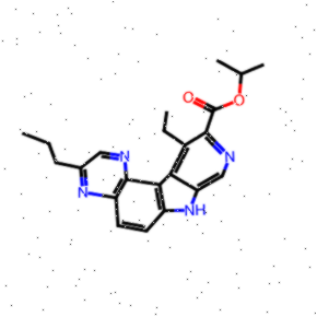 CCCc1cnc2c(ccc3[nH]c4cnc(C(=O)OC(C)C)c(CC)c4c32)n1